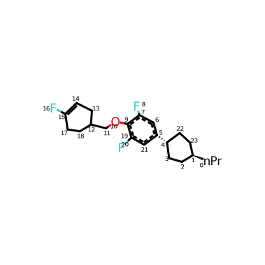 CCC[C@H]1CC[C@H](c2cc(F)c(OCC3CC=C(F)CC3)c(F)c2)CC1